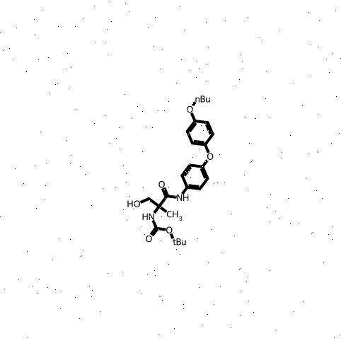 CCCCOc1ccc(Oc2ccc(NC(=O)C(C)(CO)NC(=O)OC(C)(C)C)cc2)cc1